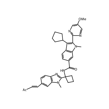 COc1cnc(-c2c(C3CCCC3)c3ccc(C(=O)NC4(c5nc6ccc(/C=C/C(C)=O)cc6n5C)CCC4)cc3n2C)nc1